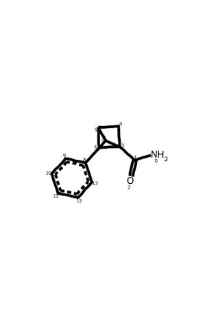 NC(=O)C12CC(C1)C2c1ccccc1